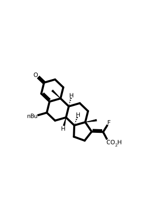 CCCCC1C[C@@H]2[C@H](CC[C@]3(C)C(=C(F)C(=O)O)CC[C@@H]23)[C@@]2(C)CCC(=O)C=C12